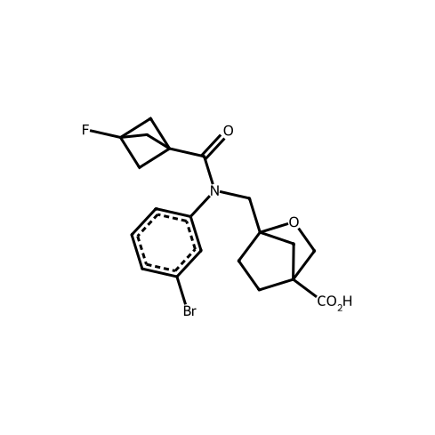 O=C(O)C12CCC(CN(C(=O)C34CC(F)(C3)C4)c3cccc(Br)c3)(C1)OC2